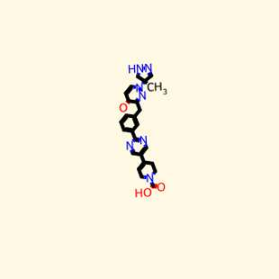 CC1(n2ccc(=O)c(Cc3cccc(-c4ncc(C5=CCN(C(=O)O)CC5)cn4)c3)n2)C=NNC1